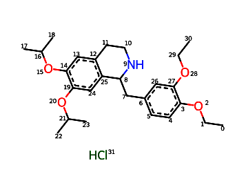 CCOc1ccc(CC2NCCc3cc(OC(C)C)c(OC(C)C)cc32)cc1OCC.Cl